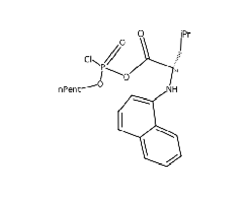 CCCCCOP(=O)(Cl)OC(=O)[C@H](CC(C)C)Nc1cccc2ccccc12